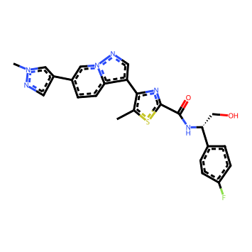 Cc1sc(C(=O)N[C@H](CO)c2ccc(F)cc2)nc1-c1cnn2cc(-c3cnn(C)c3)ccc12